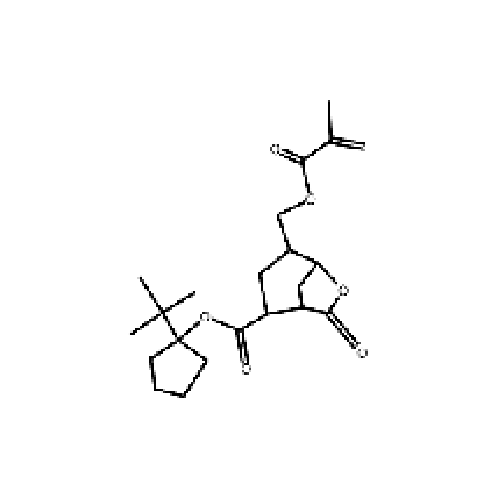 C=C(C)C(=O)OCC1CC(C(=O)OC2(C(C)(C)C)CCCC2)C2CC1OC2=O